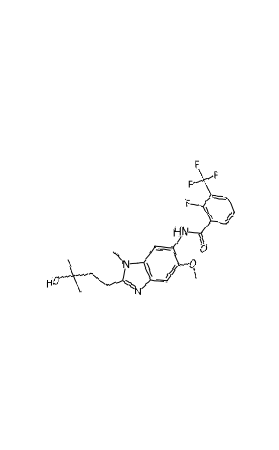 COc1cc2nc(CCC(C)(C)O)n(C)c2cc1NC(=O)c1cccc(C(F)(F)F)c1F